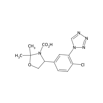 CC1(C)OCC(c2ccc(Cl)c(-n3cnnn3)c2)N1C(=O)O